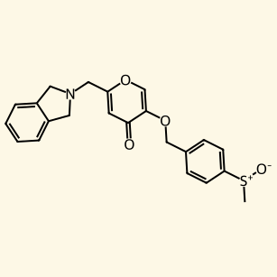 C[S+]([O-])c1ccc(COc2coc(CN3Cc4ccccc4C3)cc2=O)cc1